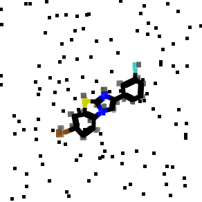 Fc1cccc(-c2cn3c(n2)sc2cc(Br)ccc23)c1